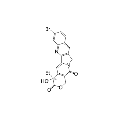 CC[C@@]1(O)C(=O)OCc2c1cc1n(c2=O)Cc2cc3ccc(Br)cc3nc2-1